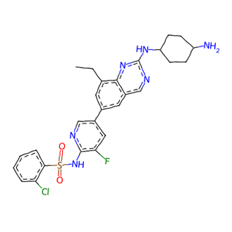 CCc1cc(-c2cnc(NS(=O)(=O)c3ccccc3Cl)c(F)c2)cc2cnc(NC3CCC(N)CC3)nc12